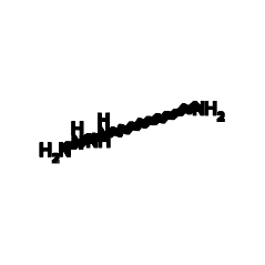 NCCCCCCCCC=CCCCCCCCCCCNCCNCCNCCN